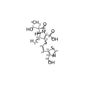 C[C@@H](O)[C@H]1C(=O)N2C(C(=O)O)=C(S/C=C\c3scnc3CO)[C@H](C)[C@H]12